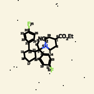 CCOC(=O)C1CCN(C(C[N+](=O)[O-])(c2ccc(F)cc2)C2CCCCC2c2ccc(F)cc2)CC1